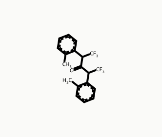 Cc1ccccc1C(C(=O)C(c1ccccc1C)C(F)(F)F)C(F)(F)F